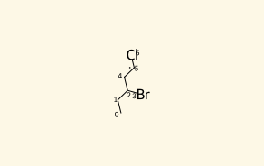 CCC(Br)C[CH]Cl